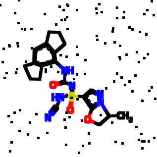 CC1COc2c(S(=O)(=NC(=O)Nc3c4c(cc5c3CCC5)CCC4)NC#N)cnn21